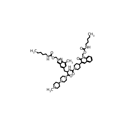 CCCCCNC(=O)OCn1cc2cc(CC(NC(=O)N3CCC(c4cc5ccccc5n(COC(=O)NCCCCC)c4=O)CC3)C(=O)N3CCN(C4CCN(C)CC4)CC3)cc(C)c2n1